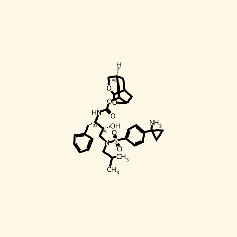 CC(C)CN(C[C@@H](O)[C@H](Cc1ccccc1)NC(=O)OC1C2CC3C[C@@H]1COC3O2)S(=O)(=O)c1ccc(C2(N)CC2)cc1